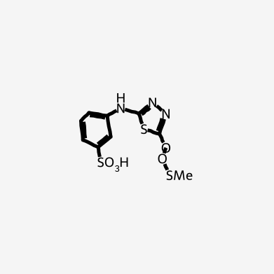 CSOOc1nnc(Nc2cccc(S(=O)(=O)O)c2)s1